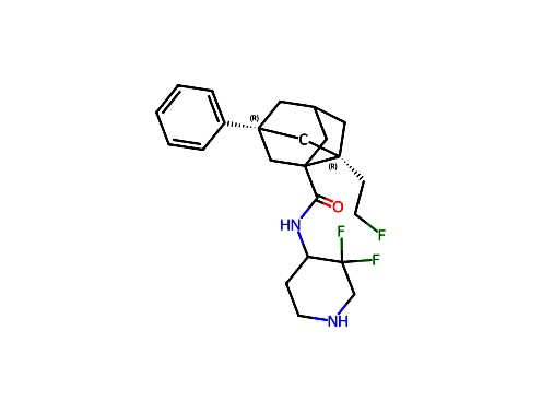 O=C(NC1CCNCC1(F)F)C12CC3C[C@](c4ccccc4)(C1)C[C@@]2(CCF)C3